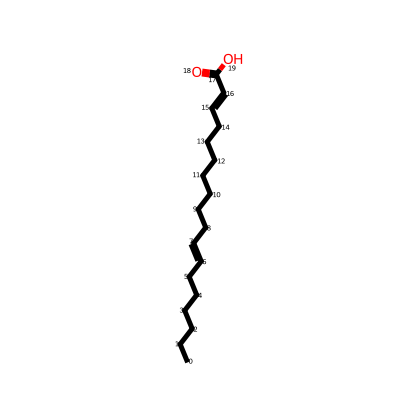 CCCCCCC=CCCCCCCCC=CC(=O)O